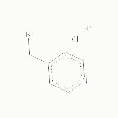 BrCc1ccncc1.[Cl-].[H+]